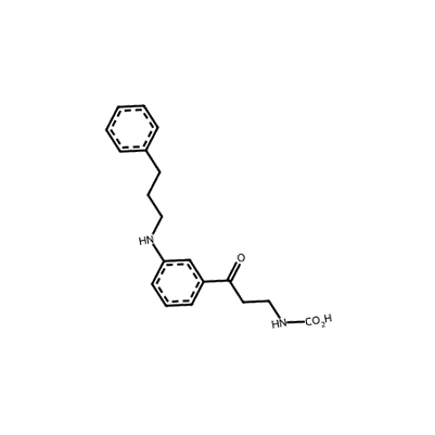 O=C(O)NCCC(=O)c1cccc(NCCCc2ccccc2)c1